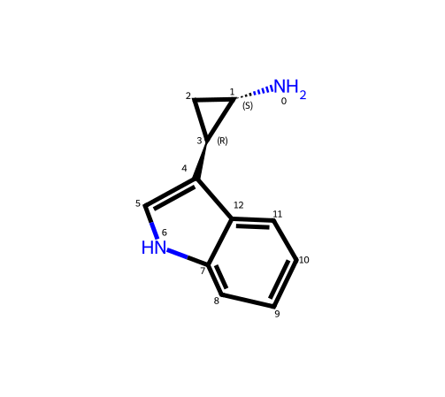 N[C@H]1C[C@@H]1c1c[nH]c2ccccc12